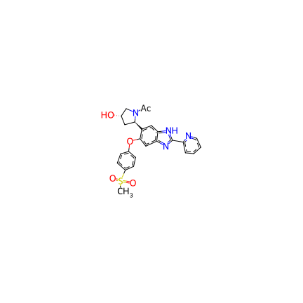 CC(=O)N1C[C@@H](O)C[C@@H]1c1cc2[nH]c(-c3ccccn3)nc2cc1Oc1ccc(S(C)(=O)=O)cc1